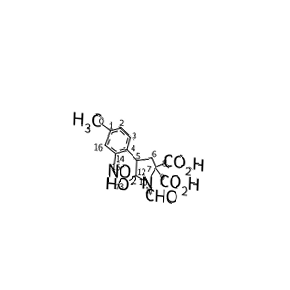 Cc1ccc(C2CC(C(=O)O)(C(=O)O)N(C=O)C2O)c([N+](=O)[O-])c1